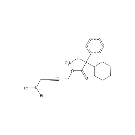 CCN(CC)CC#CCOC(=O)C(O[N+](=O)[O-])(c1ccccc1)C1CCCCC1